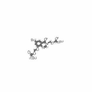 CC(C)(C)C(=O)OCOc1cc(Br)cc2c(=O)n(COC(=O)C(C)(C)C)cnc12